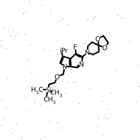 CC(C)c1cn(COCC[Si](C)(C)C)c2cnc(N3CCC4(CC3)OCCO4)c(F)c12